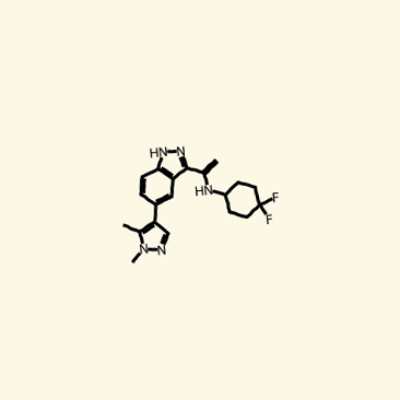 C=C(NC1CCC(F)(F)CC1)c1n[nH]c2ccc(-c3cnn(C)c3C)cc12